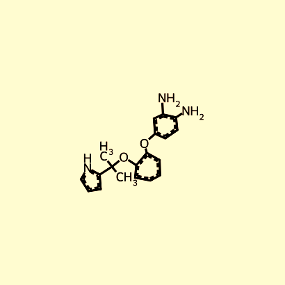 CC(C)(Oc1ccccc1Oc1ccc(N)c(N)c1)c1ccc[nH]1